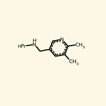 CCCNCc1cnc(C)c(C)c1